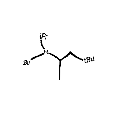 CC(C)N(C(C)CC(C)(C)C)C(C)(C)C